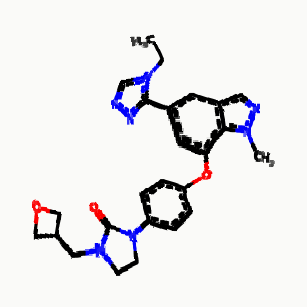 CCn1cnnc1-c1cc(Oc2ccc(N3CCN(CC4COC4)C3=O)cc2)c2c(cnn2C)c1